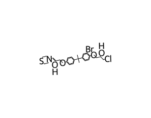 CC(C)(c1ccc(OC/C(O)=C/N2CCSCC2)cc1)c1ccc(OCC(O)CCl)c(Br)c1